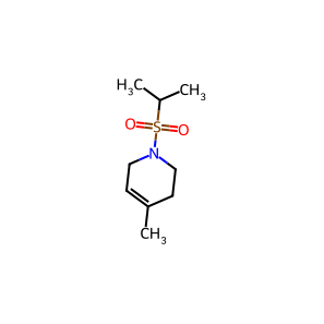 CC1=CCN(S(=O)(=O)C(C)C)CC1